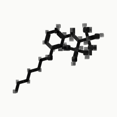 CCCCCCOc1ccnc(NC(P(=O)(O)O)P(=O)(O)O)c1